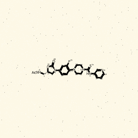 CC(=O)NC[C@H]1CN(c2ccc(N3CCN(C(=S)Nc4cccnc4)CC3)c(F)c2)C(=O)O1